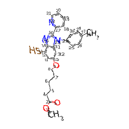 COC(=O)CCCCCOc1cc(S)c2nc(-c3ccccn3)n(-c3ccc(C)cc3)c2c1